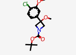 COc1cc(C2(OC)CN(C(=O)OC(C)(C)C)C2)ccc1Cl